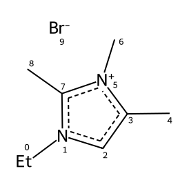 CCn1cc(C)[n+](C)c1C.[Br-]